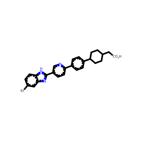 CCc1ccc2[nH]c(-c3ccc(-c4ccc(C5CCC(CC(=O)O)CC5)cc4)nc3)nc2c1